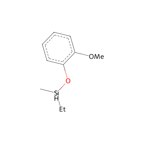 CC[SiH](C)Oc1ccccc1OC